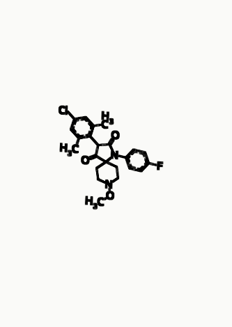 CON1CCC2(CC1)C(=O)C(c1c(C)cc(Cl)cc1C)C(=O)N2c1ccc(F)cc1